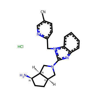 Cl.N#Cc1ccc(Cn2c(N3C[C@H]4CC[C@@H](N)[C@H]4C3)nc3ccccc32)nc1